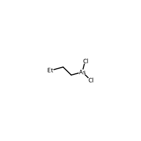 CCCC[As](Cl)Cl